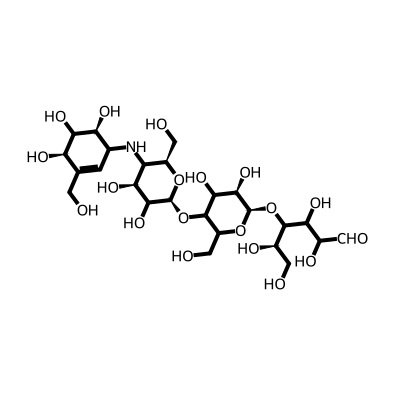 O=CC(O)C(O)C(O[C@H]1OC(CO)C(O[C@@H]2O[C@H](CO)C(NC3C=C(CO)[C@@H](O)C(O)[C@H]3O)[C@H](O)C2O)C(O)[C@H]1O)[C@H](O)CO